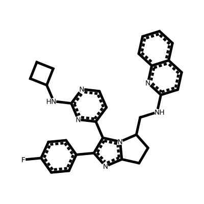 Fc1ccc(-c2nc3n(c2-c2ccnc(NC4CCC4)n2)C(CNc2ccc4ccccc4n2)CC3)cc1